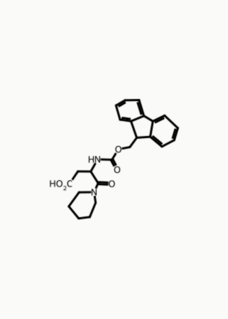 O=C(O)CC(NC(=O)OCC1c2ccccc2-c2ccccc21)C(=O)N1CCCCC1